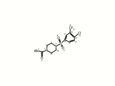 CC(C)(C)C(=O)N1CCN(S(=O)(=O)c2ccc(Cl)c(C(F)(F)F)c2)CC1